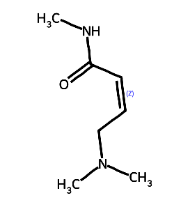 CNC(=O)/C=C\CN(C)C